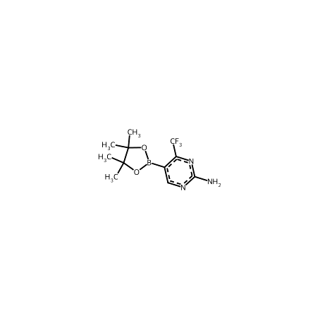 CC1(C)OB(c2cnc(N)nc2C(F)(F)F)OC1(C)C